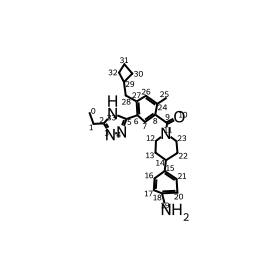 CCc1nnc(-c2cc(C(=O)N3CCC(c4ccc(N)cc4)CC3)c(C)cc2CC2CCC2)[nH]1